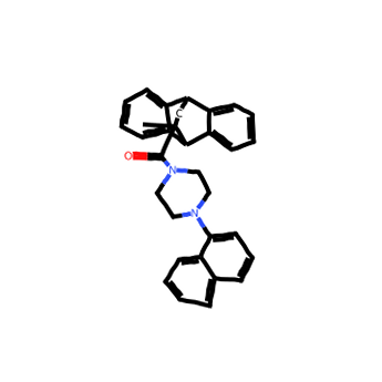 CC1(C(=O)N2CCN(c3cccc4ccccc34)CC2)CC2c3ccccc3C1c1ccccc12